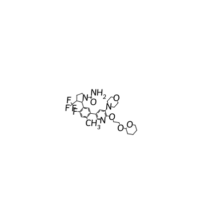 Cc1cc(F)c(C2C(C(F)(F)F)CCN2C(N)=O)cc1-c1cnc(OCCOC2CCCCO2)c(N2CCOCC2)c1